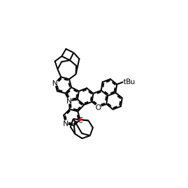 CC(C)(C)c1ccc2c3cc4c5c6c(ncc5n5c7cnc8c(c7c(c3oc3cccc1c32)c45)C1CC2CC(CC8C2)C1)C1CC2CC3CC6CC23C1